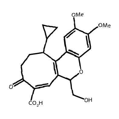 COc1cc2c(cc1OC)C1=C(/C=C(/C(=O)O)C(=O)CCC1C1CC1)C(CO)O2